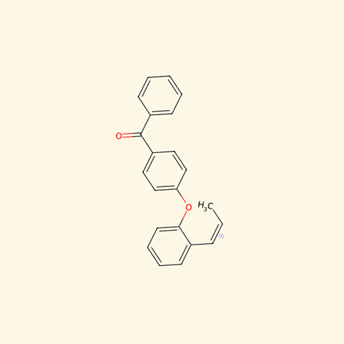 C/C=C\c1ccccc1Oc1ccc(C(=O)c2ccccc2)cc1